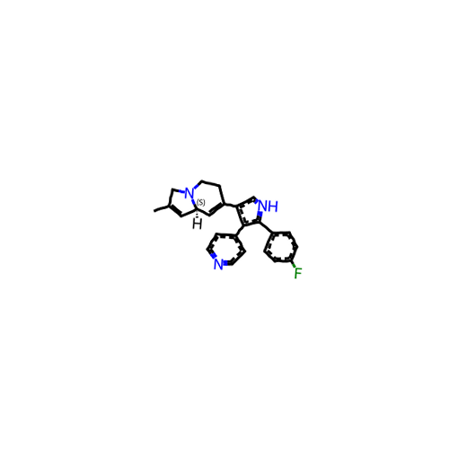 CC1=C[C@@H]2C=C(c3c[nH]c(-c4ccc(F)cc4)c3-c3ccncc3)CCN2C1